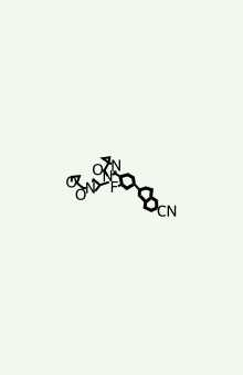 N#Cc1ccc2cc(-c3ccc(C4=NC5(CC5)C(=O)N4CC4CN(C(=O)C5CCO5)C4)c(F)c3)ccc2c1